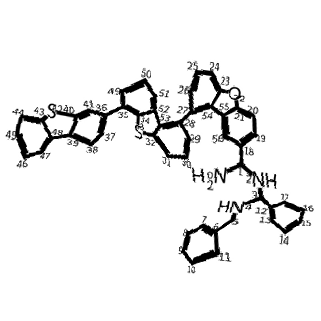 NC(NC(NCc1ccccc1)c1ccccc1)c1ccc2oc3cccc(-c4cccc5sc6c(-c7ccc8c(c7)sc7ccccc78)cccc6c45)c3c2c1